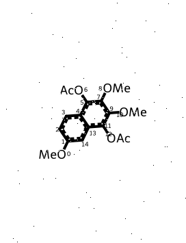 COc1ccc2c(OC(C)=O)c(OC)c(OC)c(OC(C)=O)c2c1